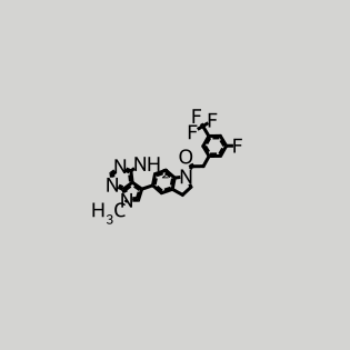 Cn1cc(-c2ccc3c(c2)CCN3C(=O)Cc2cc(F)cc(C(F)(F)F)c2)c2c(N)ncnc21